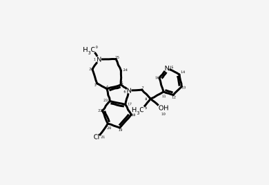 CN1CCc2c(n(CC(C)(O)c3cccnc3)c3ccc(Cl)cc23)CC1